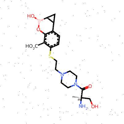 C[C@@](N)(CO)C(=O)N1CCN(CCSc2ccc3c(c2C(=O)O)OB(O)C2CC32)CC1